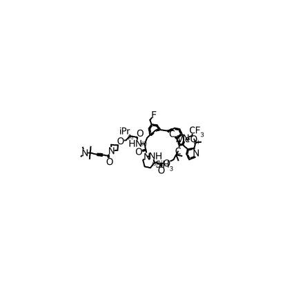 CO[C@@H](C)c1ncccc1-c1c2c3cc(ccc3n1CC(F)(F)F)-c1cc(CF)cc(c1)C[C@H](NC(=O)[C@@H](COC1CN(C(=O)C#CC(C)(C)N(C)C)C1)C(C)C)C(=O)N1CCC[C@@]([SiH3])(N1)C(=O)OCC(C)(C)C2